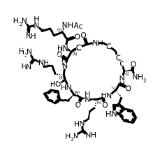 CC(=O)N[C@@H](CCCNC(=N)N)C(=O)N[C@H]1CC(=O)NCCCCC[C@@H](C(N)=O)NC(=O)[C@H](Cc2c[nH]c3ccccc23)NC(=O)[C@H](CCCNC(=N)N)NC(=O)[C@@H](Cc2ccccc2)NC(O)[C@H](CCCNC(=N)N)NC1=O